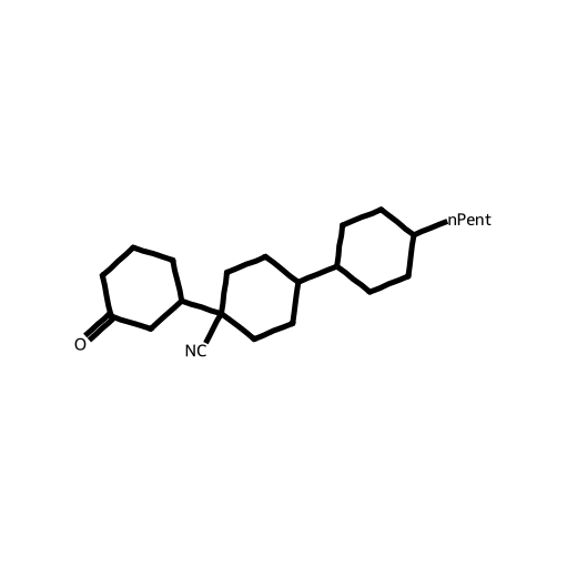 CCCCCC1CCC(C2CCC(C#N)(C3CCCC(=O)C3)CC2)CC1